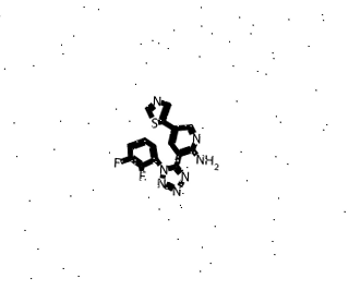 Nc1ncc(-c2cncs2)cc1-c1nnnn1-c1cccc(F)c1F